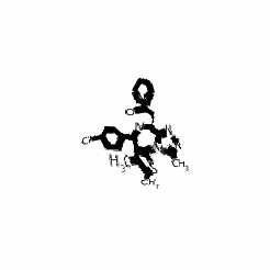 Cc1sc2c(c1C)C(c1ccc(Cl)cc1)=N[C@@H](CC(=O)N1C3CCC1CC3)c1nnc(C)n1-2